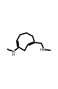 CNC/C1=C\C/C(NC)=C\CCC1